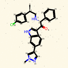 C[C@@H](CN[C@@H](C(=O)c1c[nH]c2cc(-c3cnn(C)c3)ccc12)c1ccccc1)c1ccc(Cl)cc1